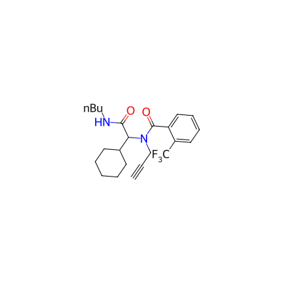 C#CCN(C(=O)c1ccccc1C(F)(F)F)C(C(=O)NCCCC)C1CCCCC1